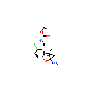 CC(C)(C)OC(=O)NCc1c(F)ccc2c1[C@H]1CC1(N)O2